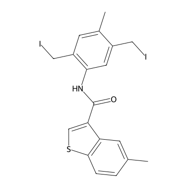 Cc1ccc2scc(C(=O)Nc3cc(CI)c(C)cc3CI)c2c1